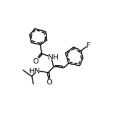 CC(C)NC(=O)C(=Cc1ccc(F)cc1)NC(=O)c1ccccc1